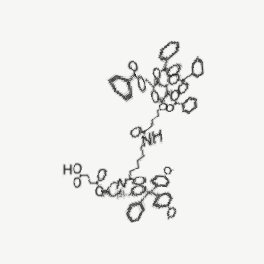 COc1ccc(C(OC[C@@H]2C[C@@H](OC(=O)CCC(=O)O)CN2C(=O)CCCCCNC(=O)CCCCO[C@H]2OC(COC(=O)c3ccccc3)[C@@H](OC(=O)c3ccccc3)C(OC(=O)c3ccccc3)[C@H]2OC(=O)c2ccccc2)(c2ccccc2)c2ccc(OC)cc2)cc1